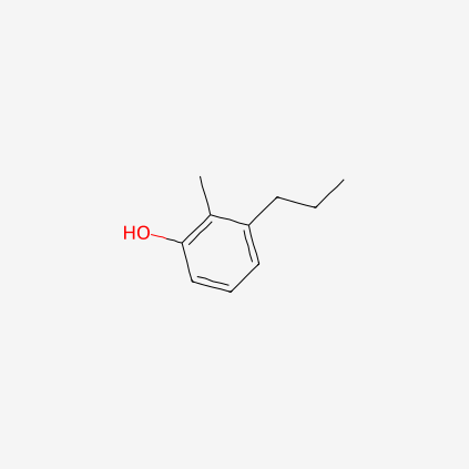 CCCc1cccc(O)c1C